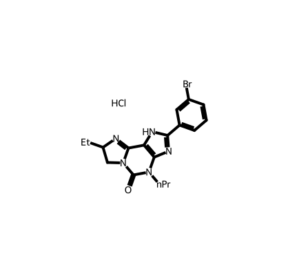 CCCN1C(=O)N2CC(CC)N=C2c2[nH]c(-c3cccc(Br)c3)nc21.Cl